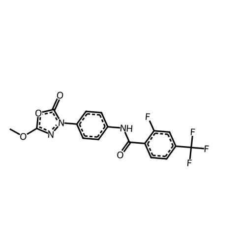 COc1nn(-c2ccc(NC(=O)c3ccc(C(F)(F)F)cc3F)cc2)c(=O)o1